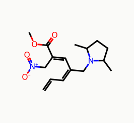 C=C/C=C(\C=C(/C[N+](=O)[O-])C(=O)OC)CN1C(C)CCC1C